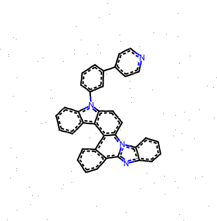 c1cc(-c2ccncc2)cc(-n2c3ccccc3c3c4c5ccccc5c5nc6ccccc6n5c4ccc32)c1